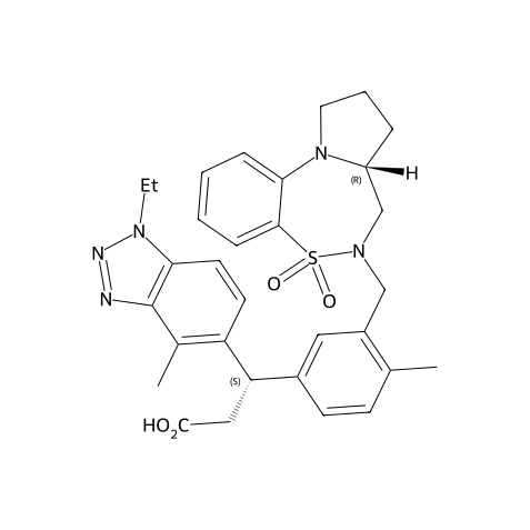 CCn1nnc2c(C)c([C@@H](CC(=O)O)c3ccc(C)c(CN4C[C@H]5CCCN5c5ccccc5S4(=O)=O)c3)ccc21